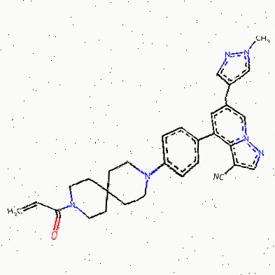 C=CC(=O)N1CCC2(CC1)CCN(c1ccc(-c3cc(-c4cnn(C)c4)cn4ncc(C#N)c34)cc1)CC2